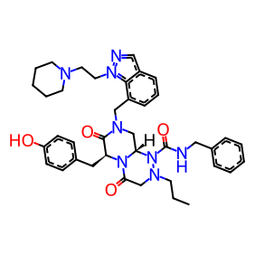 CCCN1CC(=O)N2[C@@H](Cc3ccc(O)cc3)C(=O)N(Cc3cccc4cnn(CCN5CCCCC5)c34)C[C@@H]2N1C(=O)NCc1ccccc1